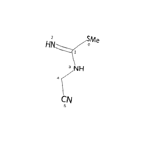 CSC(=N)NCC#N